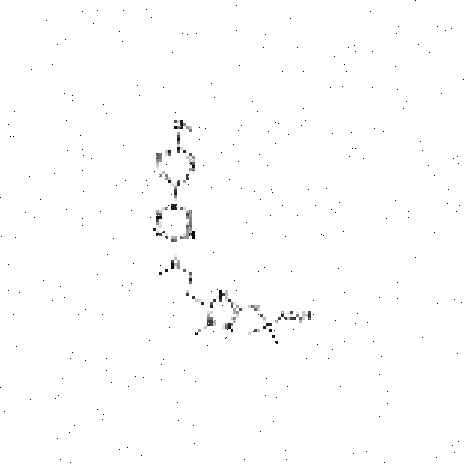 Cc1sc(SC(C)(C)C(=O)O)nc1CCN(C)c1ncc(-c2ccc(C(F)(F)F)cc2)cn1